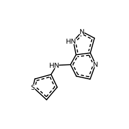 c1cc(Nc2ccsc2)c2[nH]ncc2n1